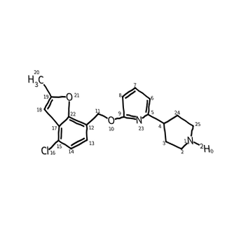 [2H]N1CCC(c2cccc(OCc3ccc(Cl)c4cc(C)oc34)n2)CC1